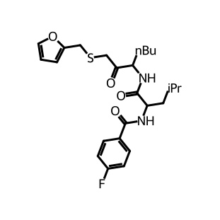 CCCCC(NC(=O)C(CC(C)C)NC(=O)c1ccc(F)cc1)C(=O)CSCc1ccco1